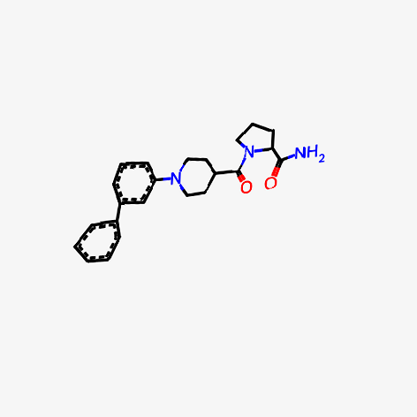 NC(=O)C1CCCN1C(=O)C1CCN(c2cccc(-c3ccccc3)c2)CC1